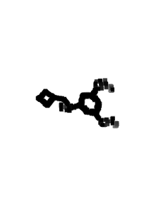 Cc1cc(C)cc(PCC2CCC2)c1